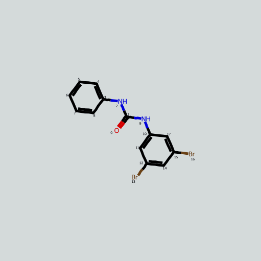 O=C(Nc1ccccc1)Nc1cc(Br)cc(Br)c1